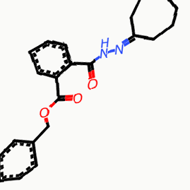 O=C(NN=C1CCCCCC1)c1ccccc1C(=O)OCc1ccccc1